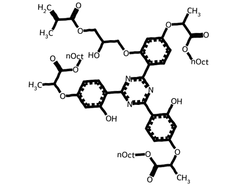 C=C(C)C(=O)OCC(O)COc1cc(OC(C)C(=O)OCCCCCCCC)ccc1-c1nc(-c2ccc(OC(C)C(=O)OCCCCCCCC)cc2O)nc(-c2ccc(OC(C)C(=O)OCCCCCCCC)cc2O)n1